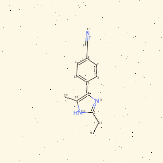 CCc1nc(-c2ccc(C#N)cc2)c(C)[nH]1